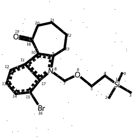 C[Si](C)(C)CCOCn1c2c(c3cccc(Br)c31)C(=O)CCCC2